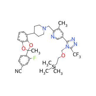 Cc1cc(-c2nnc(C(F)(F)F)n2COCC[Si](C)(C)C)cnc1CN1CCC(c2cccc3c2OC(C)(c2ccc(C#N)cc2F)O3)CC1